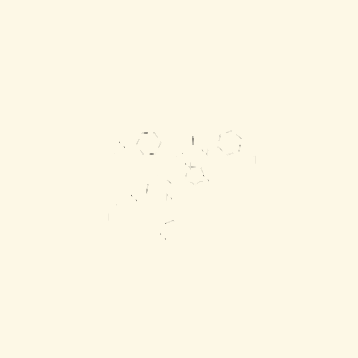 C[C@@]1(Cc2ccc(N)cc2)C(=O)N(c2cc(Cl)cc(Cl)c2)c2ncc(C(=O)N[C@H](CC(N)=O)C(=O)N3CC(F)(F)C3)n21